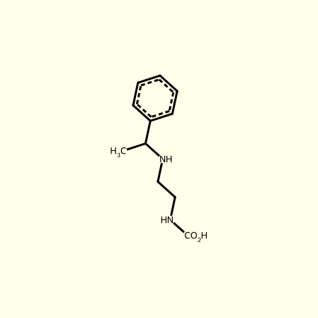 CC(NCCNC(=O)O)c1ccccc1